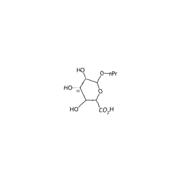 CCCOC1OC(C(=O)O)C(O)[C@H](O)C1O